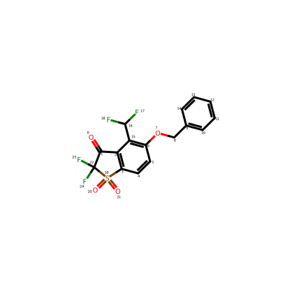 O=C1c2c(ccc(OCc3ccccc3)c2C(F)F)S(=O)(=O)C1(F)F